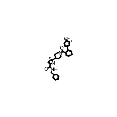 O=C(NCc1ccccc1)c1csc(C2CCN(C(=O)c3ccccc3-c3ccc(C(F)(F)F)cc3)CC2)n1